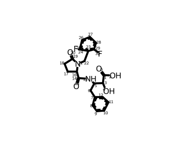 O=C(O)C(O)C(Cc1ccccc1)NC(=O)C1CCC(=O)N1Cc1c(F)cccc1F